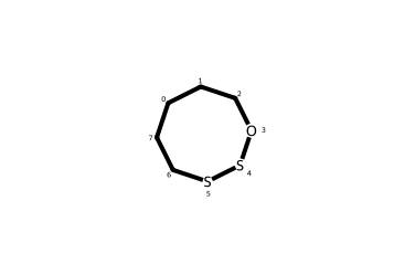 C1CCOSSCC1